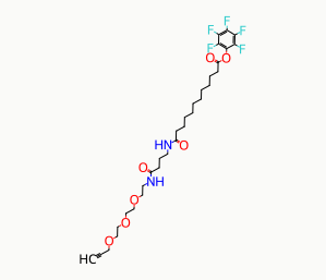 C#CCOCCOCCOCCNC(=O)CCCNC(=O)CCCCCCCCCCC(=O)Oc1c(F)c(F)c(F)c(F)c1F